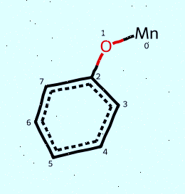 [Mn][O]c1ccccc1